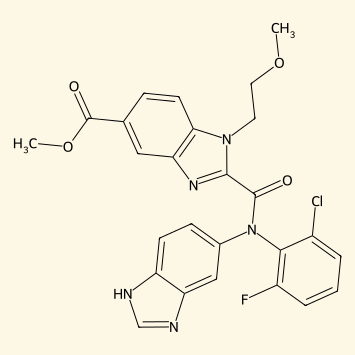 COCCn1c(C(=O)N(c2ccc3[nH]cnc3c2)c2c(F)cccc2Cl)nc2cc(C(=O)OC)ccc21